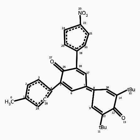 Cc1ccc(C2=CC(=C3C=C(C(C)(C)C)C(=O)C(C(C)(C)C)=C3)C=C(c3ccc([N+](=O)[O-])cc3)C2=O)cc1